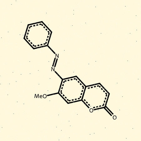 COc1cc2oc(=O)ccc2cc1/N=N/c1ccccc1